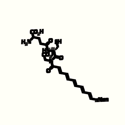 CCCCCCCCCC=CC=CC=CC=CC=CC(=O)N(CC(=O)O)C(=O)[C@@H](CS)NC(=O)CCC(N)C(=O)O